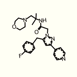 CC(C)(CN1CCOCC1)NC(=O)Cn1nc(-c2ccncc2)cc1Cc1ccc(F)cc1